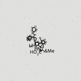 CSCC[C@H](NC(=O)c1ccc(COC(CCC2CCCCC2)c2ccnnc2)cc1-c1ccccc1C)C(=O)O.[LiH]